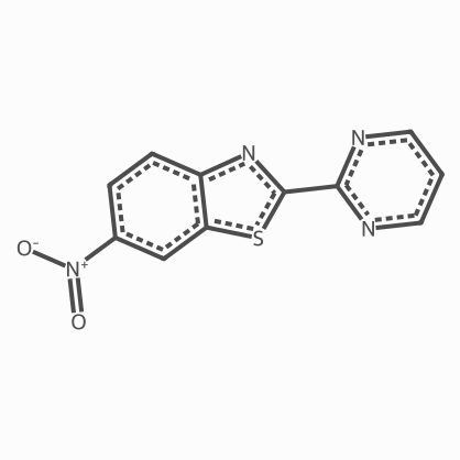 O=[N+]([O-])c1ccc2nc(-c3ncccn3)sc2c1